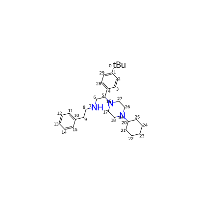 CC(C)(C)c1ccc(C(CNCCc2ccccc2)N2CCN(C3CCCCC3)CC2)cc1